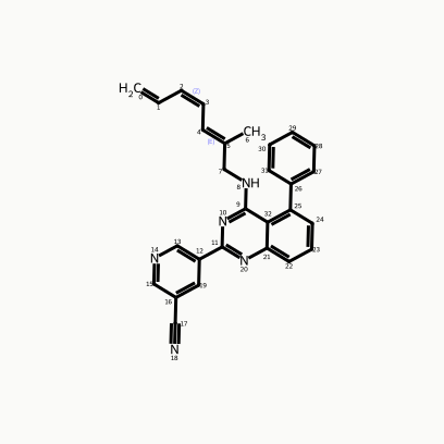 C=C/C=C\C=C(/C)CNc1nc(-c2cncc(C#N)c2)nc2cccc(-c3ccccc3)c12